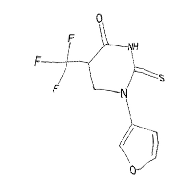 O=C1NC(=S)N(c2ccoc2)CC1C(F)(F)F